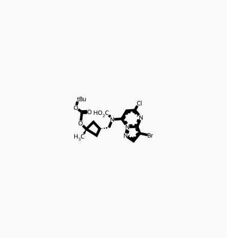 CC(C)(C)OC(=O)O[C@]1(C)C[C@H](CN(C(=O)O)c2cc(Cl)nc3c(Br)cnn23)C1